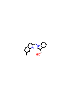 Cc1ccc2ccc(Cn3cc(CO)c4ccccc43)nc2c1